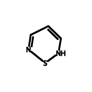 C1=CNSN=C1